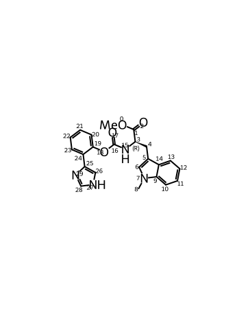 COC(=O)[C@@H](Cc1cn(C)c2ccccc12)NC(=O)Oc1ccccc1-c1c[nH]cn1